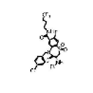 CCN[C@H]1CS(=O)(=O)c2cc(F)c(C(=O)NCCCC(F)(F)F)cc2N(Cc2ccc(Cl)cc2)C1=O